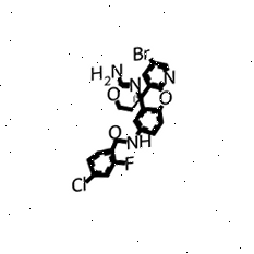 NC1=N[C@@]2(CCO1)c1cc(NC(=O)c3ccc(Cl)cc3F)ccc1Oc1ncc(Br)cc12